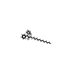 CCCCCCCCCCCCSNC(=O)C(c1ccccc1)n1ncnn1